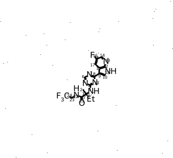 CC[C@@](C)(Nc1ncnc(-c2c[nH]c3ncc(F)cc23)n1)C(=O)NCC(F)(F)F